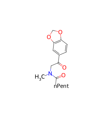 CCCCCC(=O)N(C)CC(=O)c1ccc2c(c1)OCO2